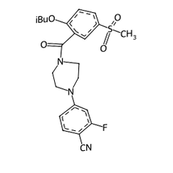 CC(C)COc1ccc(S(C)(=O)=O)cc1C(=O)N1CCN(c2ccc(C#N)c(F)c2)CC1